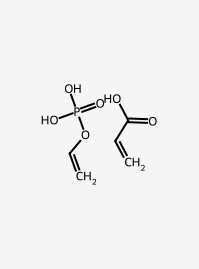 C=CC(=O)O.C=COP(=O)(O)O